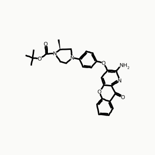 C[C@H]1CN(c2ccc(Oc3cc4oc5ccccc5c(=O)c4nc3N)cc2)CCN1C(=O)OC(C)(C)C